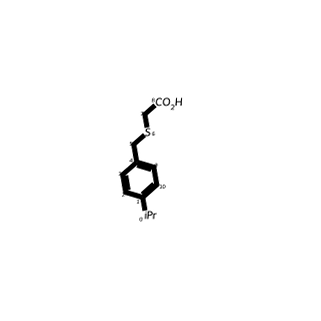 CC(C)c1ccc(CSCC(=O)O)cc1